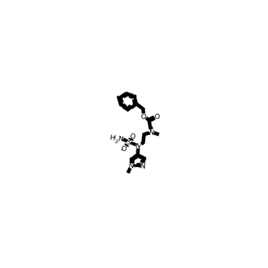 CN(CCN(c1cnn(C)c1)S(N)(=O)=O)C(=O)OCc1ccccc1